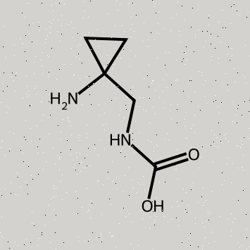 NC1(CNC(=O)O)CC1